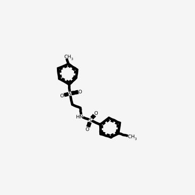 Cc1ccc(S(=O)(=O)CCNS(=O)(=O)c2ccc(C)cc2)cc1